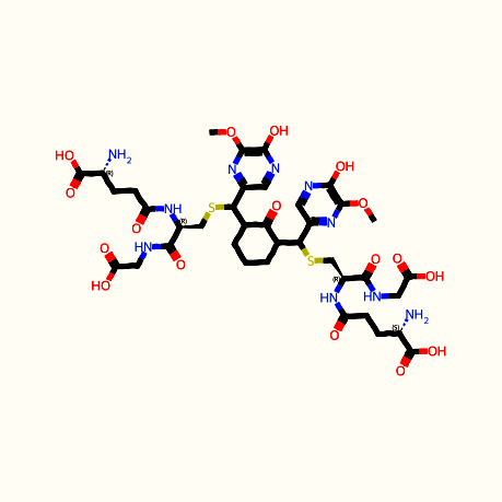 COc1nc(C(SC[C@H](NC(=O)CC[C@@H](N)C(=O)O)C(=O)NCC(=O)O)C2CCCC(C(SC[C@H](NC(=O)CC[C@H](N)C(=O)O)C(=O)NCC(=O)O)c3cnc(O)c(OC)n3)C2=O)cnc1O